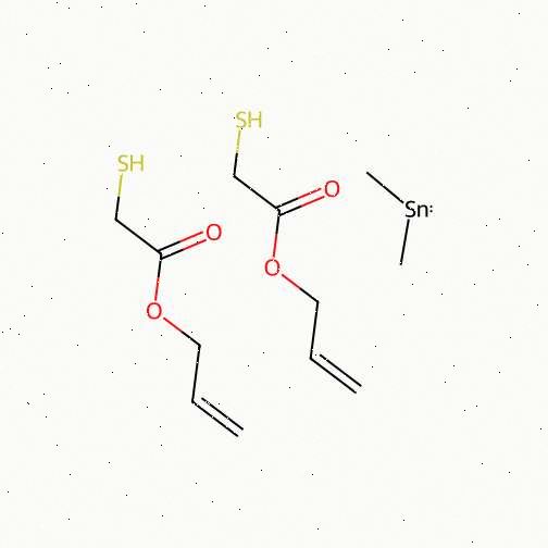 C=CCOC(=O)CS.C=CCOC(=O)CS.[CH3][Sn][CH3]